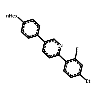 CCCCCCc1ccc(-c2ccc(-c3ccc(CC)cc3F)nc2)cc1